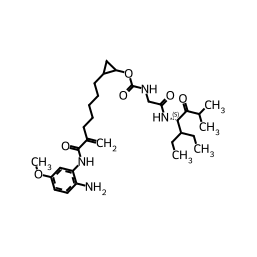 C=C(CCCCCC1CC1OC(=O)NCC(=O)N[C@H](C(=O)C(C)C)C(CC)CC)C(=O)Nc1cc(OC)ccc1N